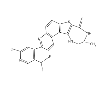 C[C@@H]1CNc2c(sc3ccc4nc(-c5cc(Cl)ncc5C(F)F)ccc4c23)C(=O)N1